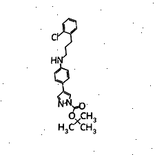 CC(C)(C)OC(=O)n1cc(-c2ccc(NCCCc3ccccc3Cl)cc2)cn1